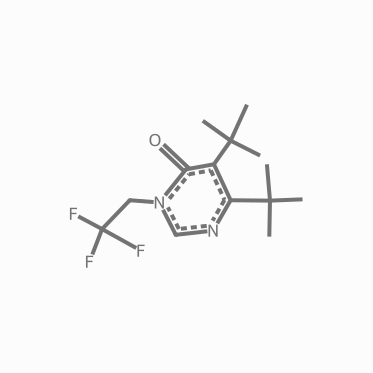 CC(C)(C)c1ncn(CC(F)(F)F)c(=O)c1C(C)(C)C